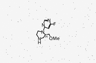 COC[C@H]1CNCCN1c1cc(F)ncn1